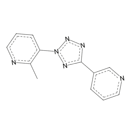 Cc1ncccc1-n1nnc(-c2cccnc2)n1